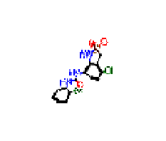 O=C(Nc1ccccc1Br)Nc1ccc(Cl)c2c1NS(=O)(=O)C2